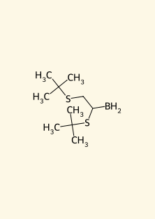 BC(CSC(C)(C)C)SC(C)(C)C